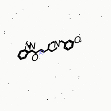 COc1cccc(CN2CCC(/C=C/C(=O)c3nn(C)c4ccccc34)CC2)c1